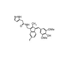 COc1cc(/C=C2/C(C)=C(CNC(=O)Cc3ccn[nH]3)c3cc(F)ccc32)cc(OC)c1O